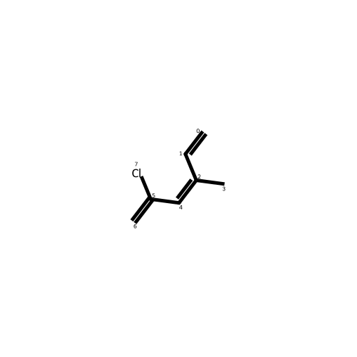 C=C/C(C)=C\C(=C)Cl